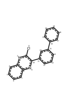 Clc1nc2ccccc2nc1-c1cccc(-c2ccccc2)c1